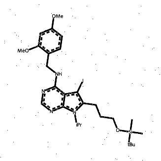 COc1ccc(CNc2ncnc3c2c(I)c(CCCO[Si](C)(C)C(C)(C)C)n3C(C)C)c(OC)c1